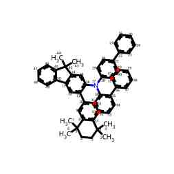 CC1(C)CCC(C)(C)c2cc(-c3cc4c(cc3N(c3ccc(-c5ccccc5)cc3)c3ccccc3-c3ccccc3)C(C)(C)c3ccccc3-4)ccc21